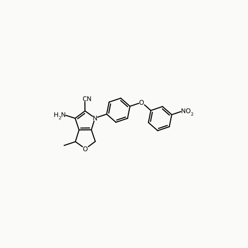 CC1OCc2c1c(N)c(C#N)n2-c1ccc(Oc2cccc([N+](=O)[O-])c2)cc1